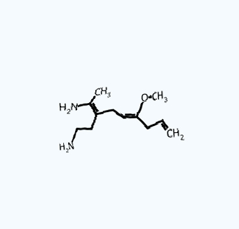 C=CC/C(=C/C/C(CCN)=C(\C)N)OC